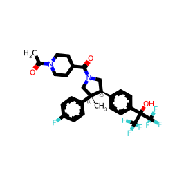 CC(=O)N1CCC(C(=O)N2C[C@@H](c3ccc(C(O)(C(F)(F)F)C(F)(F)F)cc3)[C@@](C)(c3ccc(F)cc3)C2)CC1